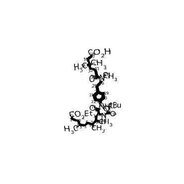 CCOC(=O)CC[C@H](C)CC[C@@H](C)C(C)C[C@H](NC(=O)OC(C)(C)C)C(=O)Nc1ccc(CCN(C)C(=O)CCC(C)(C)CCC(=O)O)cc1